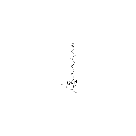 C=CCCCCCCCC[SiH](OCC)OCC